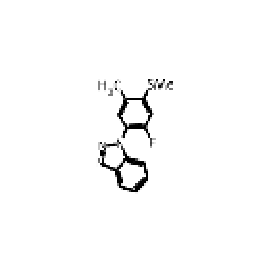 CSc1cc(F)c(-n2nnc3ccccc32)cc1C